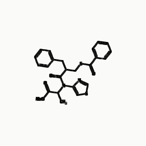 COC(=O)C(C)N(C(=O)C(CSC(=O)c1ccccc1)Cc1ccccc1)c1cscn1